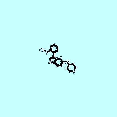 COc1ccccc1-c1cnc2ccc(NC3CCOCC3)nn12